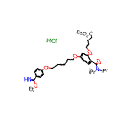 CCOC(=N)c1ccc(OCCCCCOc2ccc(C(=O)N(C(C)C)C(C)C)c(OCCCCC(=O)OCC)c2)cc1.Cl